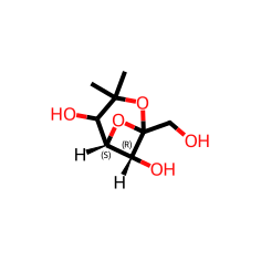 CC1(C)OC2(CO)O[C@@H](C1O)[C@H]2O